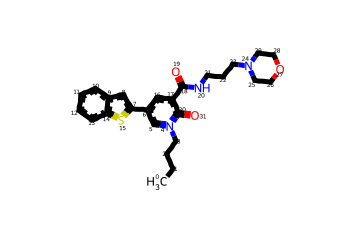 CCCCn1cc(-c2cc3ccccc3s2)cc(C(=O)NCCCN2CCOCC2)c1=O